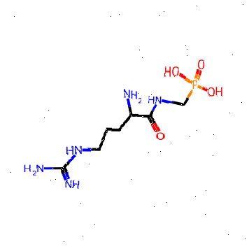 N=C(N)NCCCC(N)C(=O)NCP(=O)(O)O